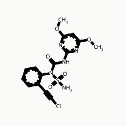 COc1cc(OC)nc(NC(=O)N(c2ccccc2C#CCl)S(N)(=O)=O)n1